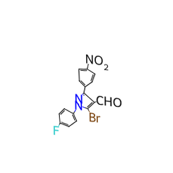 O=Cc1c(-c2ccc([N+](=O)[O-])cc2)nn(-c2ccc(F)cc2)c1Br